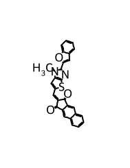 Cn1c(-c2cc3ccccc3o2)nc2sc(C=C3C(=O)c4cc5ccccc5cc4C3=O)cc21